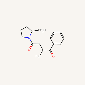 O=C(c1ccccc1)C(CC(=O)N1CCC[C@H]1C(=O)O)C(F)(F)F